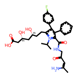 CC(N)=CC(=O)CNC(=O)c1c(-c2ccccc2)c(-c2ccc(F)cc2)c(CC[C@@H](O)C[C@@H](O)CC(=O)O)n1C(C)C